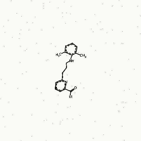 CCC(=O)c1cccc(CCCNc2c(C)cccc2C)n1